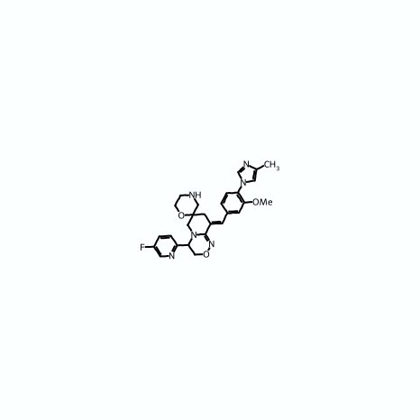 COc1cc(/C=C2\CC3(CNCCO3)CN3C2=NOCC3c2ccc(F)cn2)ccc1-n1cnc(C)c1